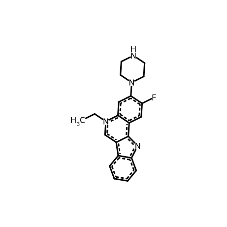 CCn1cc2c3ccccc3nc-2c2cc(F)c(N3CCNCC3)cc21